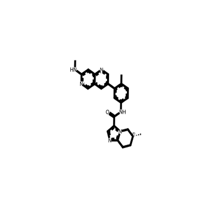 CNc1cc2ncc(-c3cc(NC(=O)c4cnc5n4C[C@H](C)CC5)ccc3C)cc2cn1